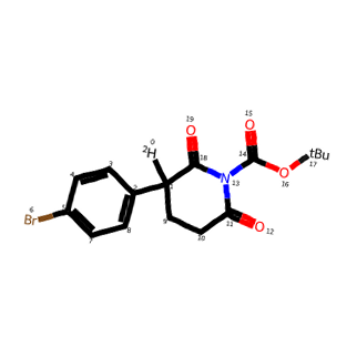 [2H]C1(c2ccc(Br)cc2)CCC(=O)N(C(=O)OC(C)(C)C)C1=O